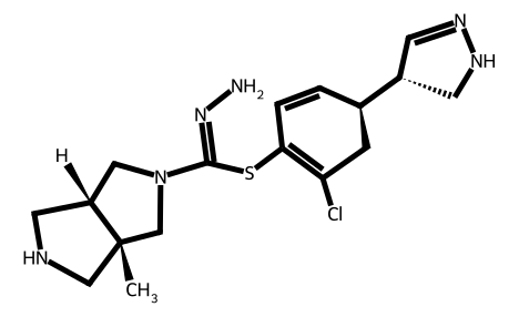 C[C@@]12CNC[C@@H]1CN(/C(=N/N)SC1=C(Cl)C[C@H]([C@@H]3C=NNC3)C=C1)C2